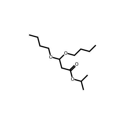 CCCCOC(CC(=O)OC(C)C)OCCCC